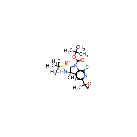 CC(C)(C)OC(=O)N1C[C@@](C)(N[S+]([O-])C(C)(C)C)c2cc(C3(C)CO3)nc(Cl)c21